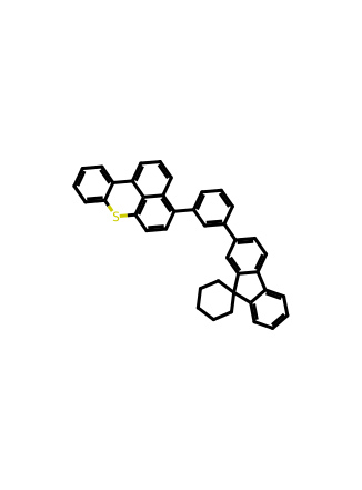 c1cc(-c2ccc3c(c2)C2(CCCCC2)c2ccccc2-3)cc(-c2ccc3c4c(cccc24)-c2ccccc2S3)c1